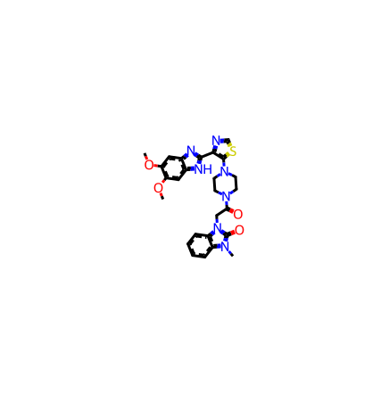 COc1cc2nc(-c3ncsc3N3CCN(C(=O)Cn4c(=O)n(C)c5ccccc54)CC3)[nH]c2cc1OC